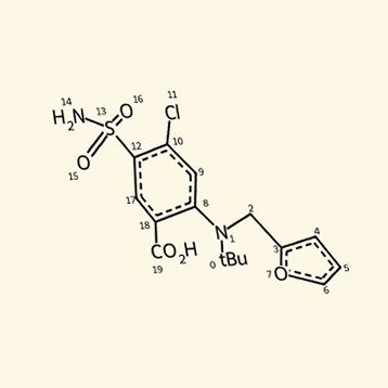 CC(C)(C)N(Cc1ccco1)c1cc(Cl)c(S(N)(=O)=O)cc1C(=O)O